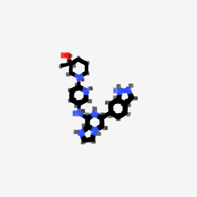 C[C@@]1(O)CCCN(c2ccc(Nc3nc(-c4ccc5cn[nH]c5c4)cn4ccnc34)cn2)C1